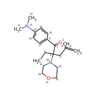 C=C(C)CC(CC)(C(=O)c1ccc(N(C)C)cc1)N1CCOCC1